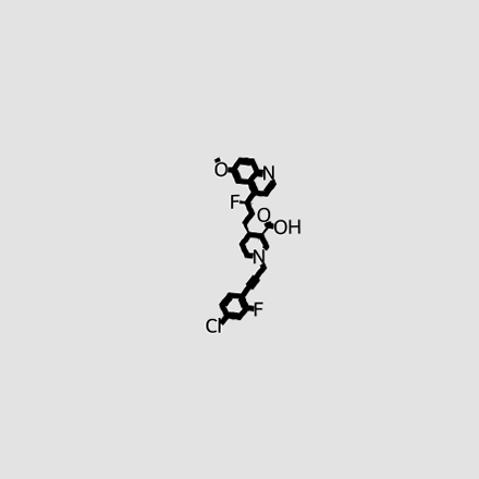 COc1ccc2nccc([C@H](F)CC[C@@H]3CCN(CC#Cc4ccc(Cl)cc4F)C[C@@H]3C(=O)O)c2c1